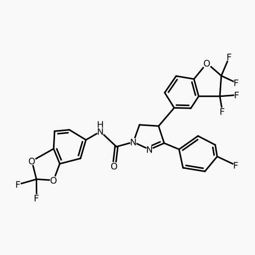 O=C(Nc1ccc2c(c1)OC(F)(F)O2)N1CC(c2ccc3c(c2)C(F)(F)C(F)(F)O3)C(c2ccc(F)cc2)=N1